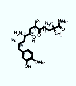 CNC(=O)C(C)(C)CNC(=O)[C@@H](C[C@H](O)[C@@H](N)C[C@H](Cc1ccc(OC)c(O)c1)C(C)C)C(C)C